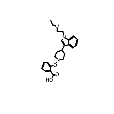 CCOCCn1cc(C2CCN(Oc3ccccc3C(=O)O)CC2)c2ccccc21